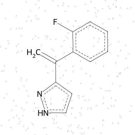 C=C(c1cc[nH]n1)c1ccccc1F